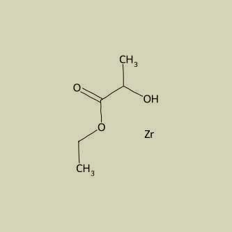 CCOC(=O)C(C)O.[Zr]